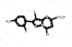 CCOC(=O)c1cc(CC)n2nc(-c3ccc(N)cc3F)c(F)c2n1